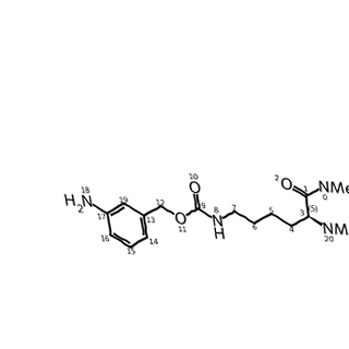 CNC(=O)[C@H](CCCCNC(=O)OCc1cccc(N)c1)NC